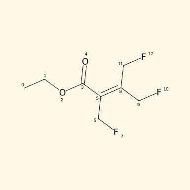 CCOC(=O)C(CF)=C(CF)CF